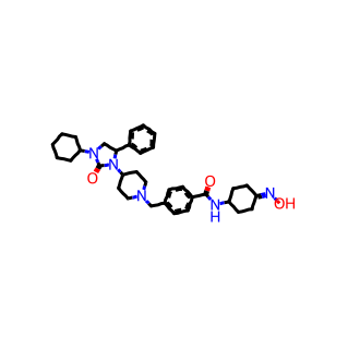 O=C(NC1CCC(=NO)CC1)c1ccc(CN2CCC(N3C(=O)N(C4CCCCC4)CC3c3ccccc3)CC2)cc1